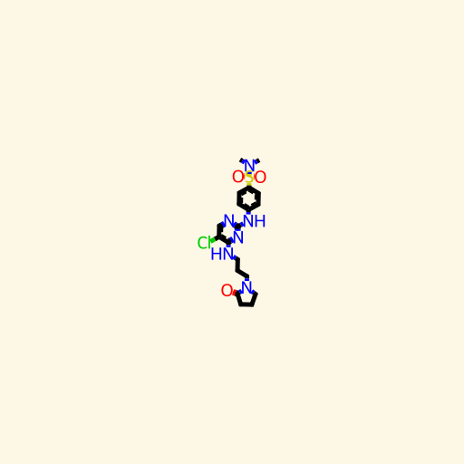 CN(C)S(=O)(=O)c1ccc(Nc2ncc(Cl)c(NCCCN3CCCC3=O)n2)cc1